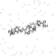 O=C(O)c1csc([C@H]2CC[C@@H]3[C@@H](/C=C/COc4cccc(OC(F)(F)F)c4)[C@H](O)C[C@@H]3O2)n1